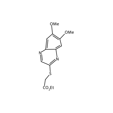 CCOC(=O)CSc1cnc2cc(OC)c(OC)cc2n1